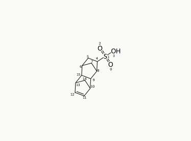 O=S(=O)(O)C1CC2CC1C1C3C=CC(C3)C21